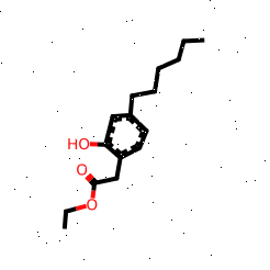 CCCCCCc1ccc(CC(=O)OCC)c(O)c1